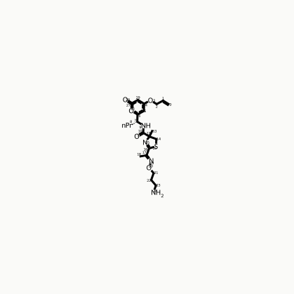 C=CCOc1cc([C@@H](CCC)NC(=O)C2(C)CSC(/C(C)=N/OCCCN)=N2)oc(=O)c1